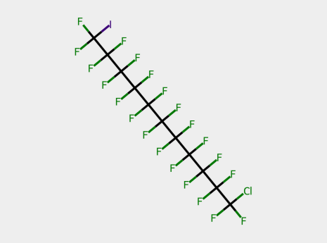 FC(F)(Cl)C(F)(F)C(F)(F)C(F)(F)C(F)(F)C(F)(F)C(F)(F)C(F)(F)C(F)(F)C(F)(F)C(F)(F)I